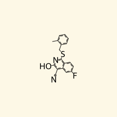 Cc1ccccc1CSc1nc(O)c(C#N)c2cc(F)ccc12